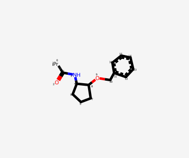 CC(C)C(=O)NC1CCCC1OCc1ccccc1